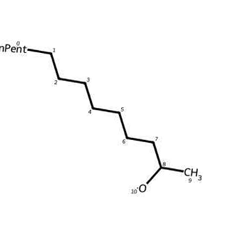 CCCCCCCCCCCCC(C)[O]